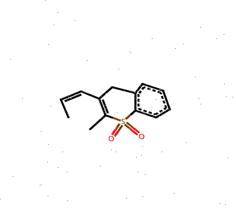 C/C=C\C1=C(C)S(=O)(=O)c2ccccc2C1